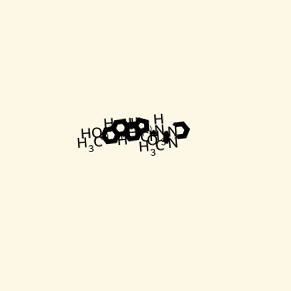 Cc1nc2n(c1NC(=O)[C@H]1CC[C@H]3[C@@H]4CC[C@@H]5C[C@](C)(O)CC[C@@H]5[C@H]4CC[C@]13C)CCCC2